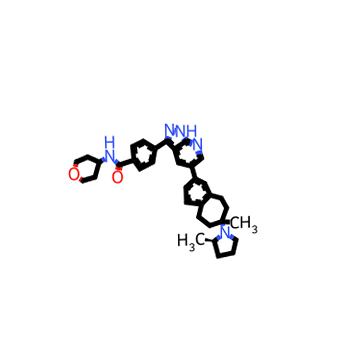 C[C@@H]1CCCN1C1(C)CCc2ccc(-c3cnc4[nH]nc(-c5ccc(C(=O)NC6CCOCC6)cc5)c4c3)cc2CC1